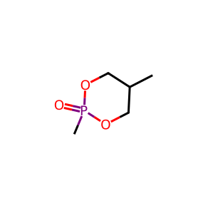 CC1COP(C)(=O)OC1